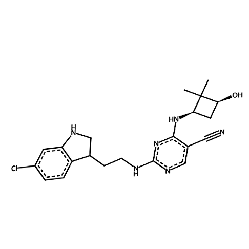 CC1(C)[C@@H](O)C[C@H]1Nc1nc(NCCC2CNc3cc(Cl)ccc32)ncc1C#N